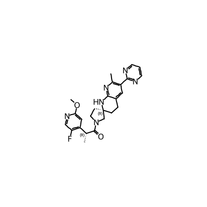 COc1cc([C@@H](C)C(=O)N2CC[C@]3(CCc4cc(-c5ncccn5)c(C)nc4N3)C2)c(F)cn1